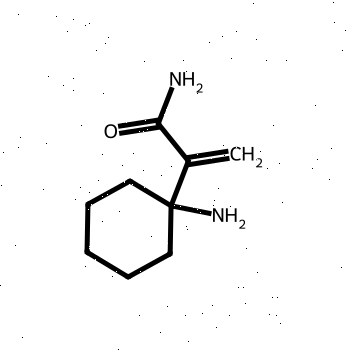 C=C(C(N)=O)C1(N)CCCCC1